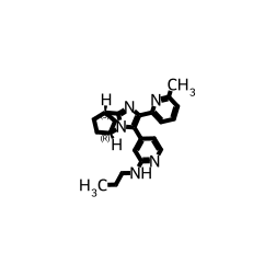 CCCNc1cc(-c2c(-c3cccc(C)n3)nc3n2[C@@H]2CC[C@H]3C2)ccn1